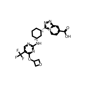 O=C(O)c1ccn2c([C@H]3CCC[C@@H](Nc4ncc(C(F)(F)F)c(OC5COC5)n4)C3)nnc2c1